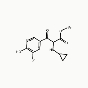 CCCOC(=O)C(NC1CC1)C(=O)c1cnc(O)c(Br)c1